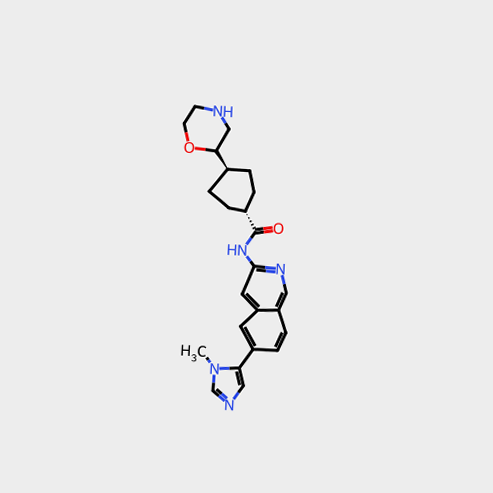 Cn1cncc1-c1ccc2cnc(NC(=O)[C@H]3CC[C@H](C4CNCCO4)CC3)cc2c1